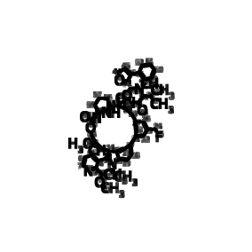 CCn1c(-c2cccnc2[C@H](C)OC)c2c3cc(ccc31)-c1cc(CF)cc(c1)C[C@H](NC(=O)C(C(C)C)N(C)C(=O)[C@@H]1OCC=C1c1ccccc1)C(=O)N1CCC[C@H](N1)C(=O)OCC(C)(C)C2